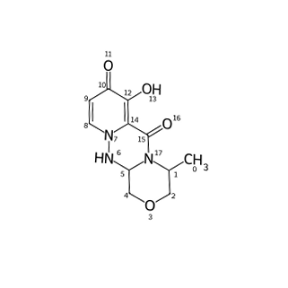 CC1COCC2Nn3ccc(=O)c(O)c3C(=O)N12